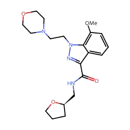 COc1cccc2c(C(=O)NC[C@H]3CCCO3)nn(CCN3CCOCC3)c12